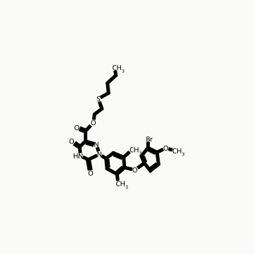 CCCCSCCOC(=O)c1nn(-c2cc(C)c(Oc3ccc(OC)c(Br)c3)c(C)c2)c(=O)[nH]c1=O